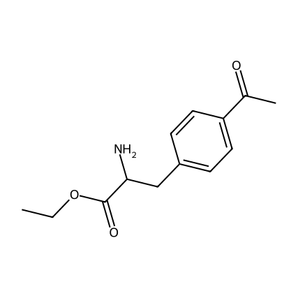 CCOC(=O)C(N)Cc1ccc(C(C)=O)cc1